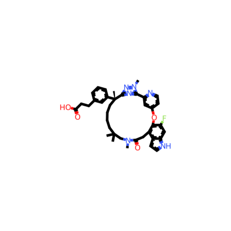 CN1CC(C)(C)CCCC[C@](C)(c2cccc(CCC(=O)O)c2)c2nc(n(C)n2)-c2cc(ccn2)Oc2c(F)cc3[nH]ccc3c2CC1=O